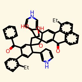 CCc1ccccc1C1=CC(C2=CNC=CC2)C(CCO)(C(=O)C2(CCO)C=C(C(=O)c3ccccc3)C(c3ccccc3CC)=CC2C2=CNC=CC2)C=C1C(=O)c1ccccc1